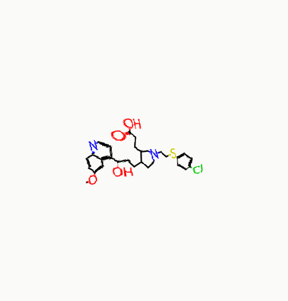 COc1ccc2nccc([C@@H](O)CCC3CCN(CCSc4ccc(Cl)cc4)CC3CCC(=O)O)c2c1